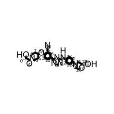 C[C@H](O)C(=O)N1CCC(Oc2ccc(-c3ncnc(Nc4ccc(N5CCO[C@@H](CO)C5)cc4)n3)cc2C#N)CC1